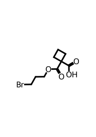 O=C(O)C1(C(=O)OCCCBr)CCC1